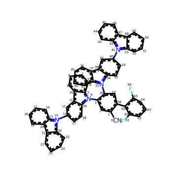 N#Cc1cc(-n2c3ccccc3c3cc(-n4c5ccccc5c5ccccc54)ccc32)c(-n2c3ccccc3c3cc(-n4c5ccccc5c5ccccc54)ccc32)cc1-c1c(F)cccc1F